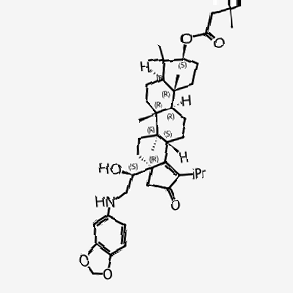 CC(C)C1=C2[C@H]3CC[C@@H]4[C@@]5(C)CC[C@H](OC(=O)CC(C)(C)C(=O)O)C(C)(C)[C@@H]5CC[C@@]4(C)[C@]3(C)CC[C@@]2([C@H](O)CNc2ccc3c(c2)OCO3)CC1=O